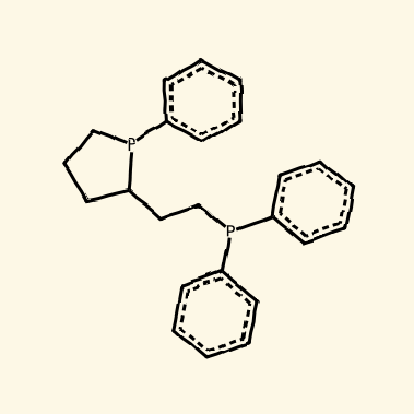 c1ccc(P(CCC2CCCP2c2ccccc2)c2ccccc2)cc1